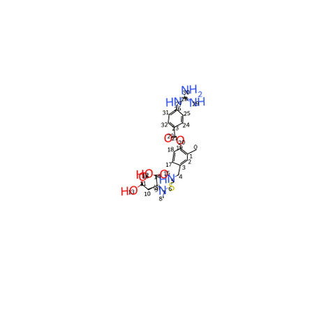 Cc1cc(CNSN(C)[C@@H](CC(=O)O)C(=O)O)ccc1OC(=O)c1ccc(NC(=N)N)cc1